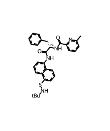 Cc1cccc(C(=O)N[C@@H](Cc2ccccc2)C(=O)Nc2cccc3c(SNC(C)(C)C)cccc23)n1